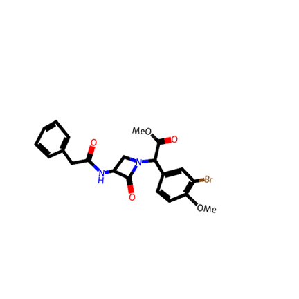 COC(=O)C(c1ccc(OC)c(Br)c1)N1CC(NC(=O)Cc2ccccc2)C1=O